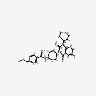 CCCc1ccc(C(=O)N[C@H]2CC[C@@H](n3c(=O)c4cc(F)cnc4n(C4CCSCC4)c3=O)CC2)cc1